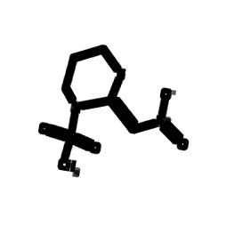 CS(=O)(=O)N1CCCSC1=C[N+](=O)[O-]